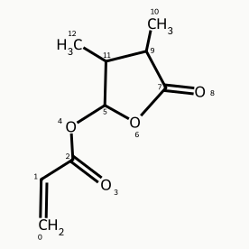 C=CC(=O)OC1OC(=O)C(C)C1C